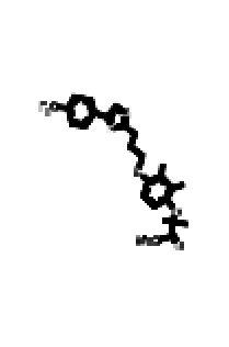 COC(=O)C(C)(C)Oc1ccc(OCCCc2nc(-c3ccc(C(F)(F)F)cc3)cs2)c(C)c1C